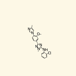 COc1cc(-c2nc(Nc3ccccc3Cl)n(C)n2)ccc1-n1cnc(C)c1